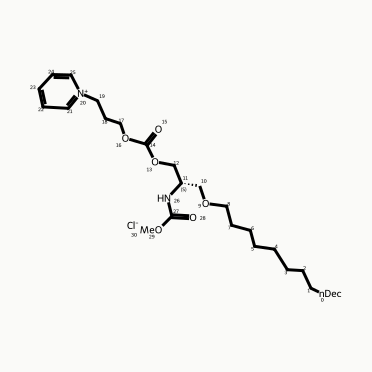 CCCCCCCCCCCCCCCCCCOC[C@@H](COC(=O)OCCC[n+]1ccccc1)NC(=O)OC.[Cl-]